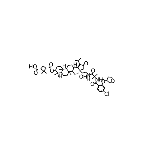 CC(C)C1=C2[C@H]3CC[C@@H]4[C@@]5(C)CC[C@H](OC(=O)[C@H]6C[C@@H](C(=O)O)C6(C)C)C(C)(C)[C@@H]5CC[C@@]4(C)[C@]3(C)CC[C@@]2([C@@H](O)CNC(=O)C(C)(C)NC(=O)c2ccc(Cl)cc2O[C@H]2CCOC2)CC1=O